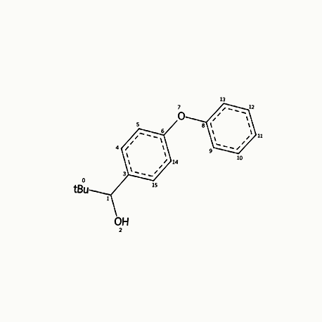 CC(C)(C)C(O)c1ccc(Oc2ccccc2)cc1